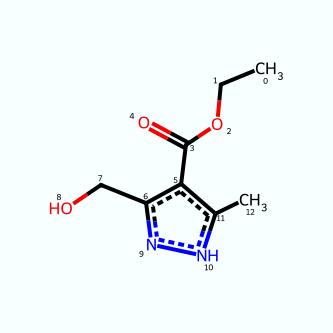 CCOC(=O)c1c(CO)n[nH]c1C